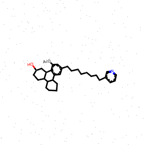 CC(=O)Oc1cc(CCCCCCCCc2cccnc2)cc2c1C1CC(O)CCC1C1CCCCC21